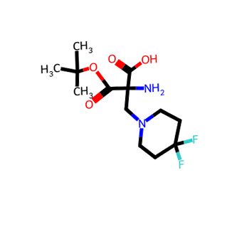 CC(C)(C)OC(=O)C(N)(CN1CCC(F)(F)CC1)C(=O)O